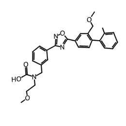 COCCN(Cc1cccc(-c2noc(-c3ccc(-c4ccccc4C)c(COC)c3)n2)c1)C(=O)O